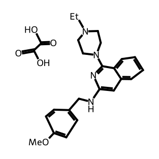 CCN1CCN(c2nc(NCc3ccc(OC)cc3)cc3ccccc23)CC1.O=C(O)C(=O)O